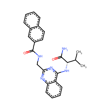 CC(C)[C@H](Nc1nc(CNC(=O)c2ccc3ccccc3c2)nc2ccccc12)C(N)=O